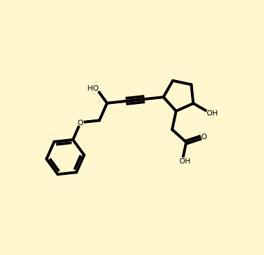 O=C(O)CC1C(O)CCC1C#CC(O)COc1ccccc1